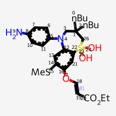 CCCCC1(CCCC)CN(c2ccc(N)cc2)c2cc(SC)c(O/C=C/C(=O)OCC)cc2S(O)(O)C1